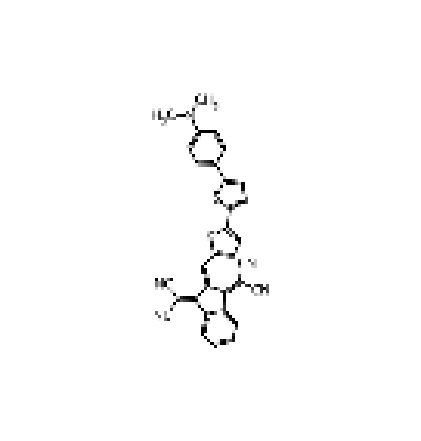 CN(C)c1ccc(-c2ccc(-c3ccc(C=C4C(=C(C#N)C#N)c5ccccc5C4=C(C#N)C#N)s3)s2)cc1